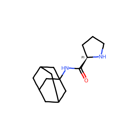 O=C(NC12CC3CC(CC(C3)C1)C2)[C@H]1CCCN1